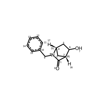 O=C1[C@@H]2C[C@@H](CC2O)N1Cc1ccccc1